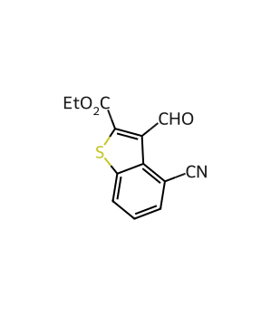 CCOC(=O)c1sc2cccc(C#N)c2c1C=O